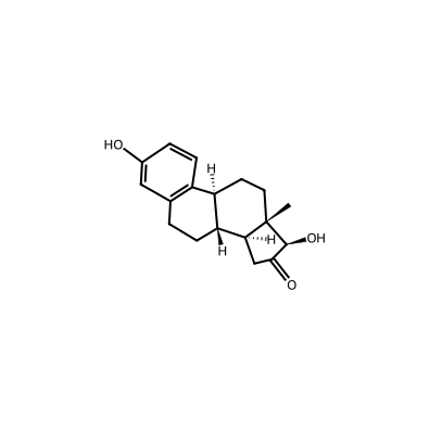 C[C@]12CC[C@@H]3c4ccc(O)cc4CC[C@H]3[C@@H]1CC(=O)[C@@H]2O